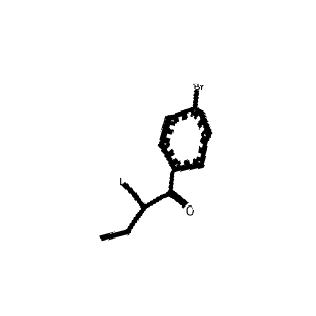 CCC(I)C(=O)c1ccc(Br)cc1